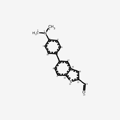 CN(C)c1ccc(-c2ccc3sc(C=O)cc3c2)cc1